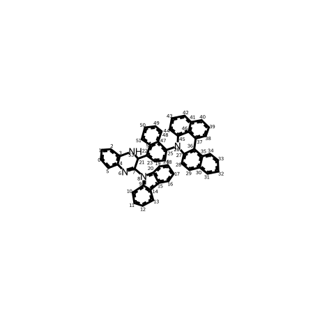 c1ccc2c(c1)N=C(n1c3ccccc3c3ccccc31)C(c1ccc(N3c4ccc5ccccc5c4-c4cccc5cccc3c45)c3ccccc13)N2